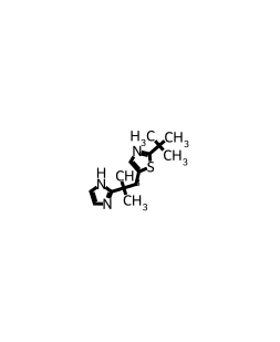 CC(C)(C)c1ncc(CC(C)(C)c2ncc[nH]2)s1